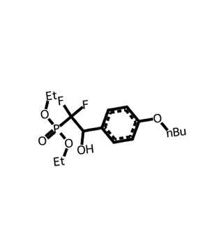 CCCCOc1ccc(C(O)C(F)(F)P(=O)(OCC)OCC)cc1